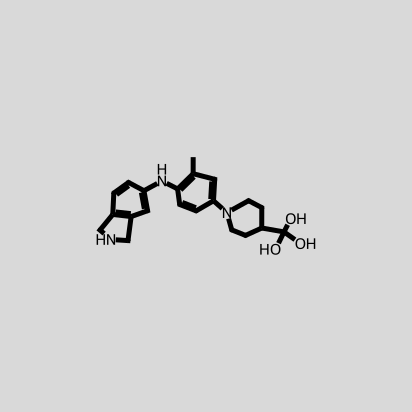 Cc1cc(N2CCC(C(O)(O)O)CC2)ccc1Nc1ccc2c(c1)CNC2